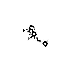 N#Cc1cc(-c2ncccc2C(=O)O)ccc1OCCCOc1cccc(F)c1